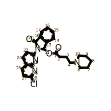 O=C(CCCN1CCCCC1)OC1c2ccccc2C(=O)N1c1ccc2ccc(Cl)nc2n1